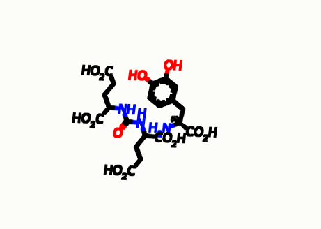 N[C@@H](Cc1ccc(O)c(O)c1)C(=O)O.O=C(O)CCC(NC(=O)NC(CCC(=O)O)C(=O)O)C(=O)O